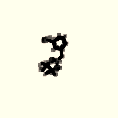 CC1(C)OB(Cc2cccc(Cl)c2)OC1(C)C